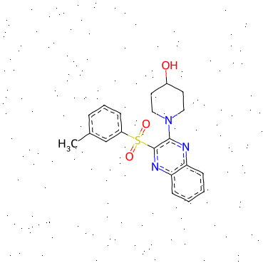 Cc1cccc(S(=O)(=O)c2nc3ccccc3nc2N2CCC(O)CC2)c1